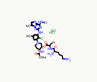 CCNc1nc(Nc2cc(C#N)cc(N3CC[C@@H](NC(=O)OC)[C@H](OC(=O)C(NC(=O)[C@@H](N)CCCCN)C(C)C)C3)c2Cl)nn2c(C#N)cnc12.Cl.Cl